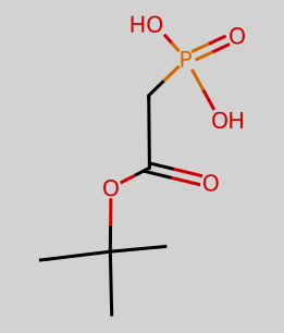 CC(C)(C)OC(=O)CP(=O)(O)O